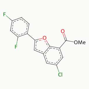 COC(=O)c1cc(Cl)cc2cc(-c3ccc(F)cc3F)oc12